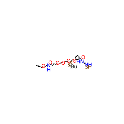 CC#CCOCCNC(=O)CCCOCCOCCOC(COc1cccc(C(=O)NCCNS)c1)SSC(C)(C)C